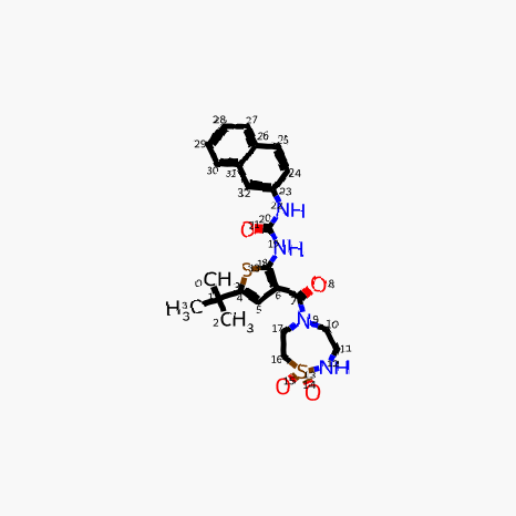 CC(C)(C)c1cc(C(=O)N2CCNS(=O)(=O)CC2)c(NC(=O)Nc2ccc3ccccc3c2)s1